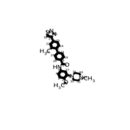 COc1ccc(NC(=O)c2ccc(-c3ccc(-c4csnn4)cc3C)cc2)cc1N1CCN(C)CC1